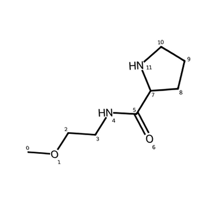 COCCNC(=O)C1CCCN1